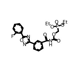 CCOP(=O)(COC(=O)NC(=O)c1cccc(-c2noc(-c3ccccc3F)n2)c1)OCC